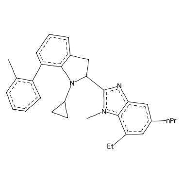 CCCc1cc(CC)c2c(c1)nc(C1Cc3cccc(-c4ccccc4C)c3N1C1CC1)n2C